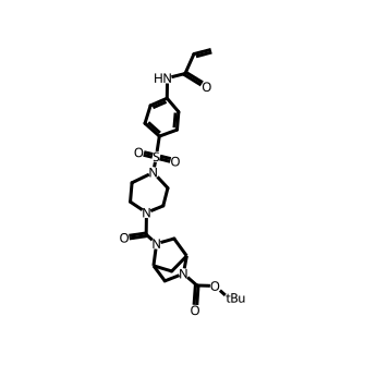 C=CC(=O)Nc1ccc(S(=O)(=O)N2CCN(C(=O)N3CC4CC3CN4C(=O)OC(C)(C)C)CC2)cc1